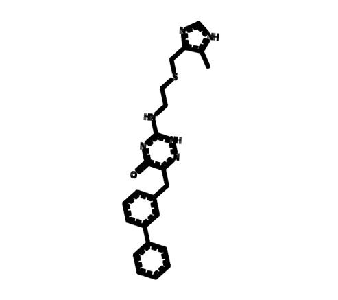 Cc1[nH]cnc1CSCCNc1nc(=O)c(Cc2cccc(-c3ccccc3)c2)n[nH]1